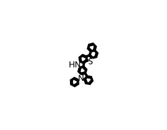 c1ccc(-n2c3ccccc3c3cc4c(cc32)[nH]c2ccc3c(sc5ccc6ccccc6c53)c24)cc1